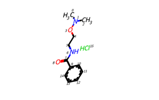 CN(C)OCCNC(=O)c1ccccc1.Cl